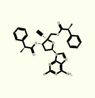 C#C[C@]1(COC(=O)[C@@H](C)c2ccccc2)O[C@@H](n2cnc3c(N)nc(F)nc32)C[C@@H]1OC(=O)[C@@H](C)c1ccccc1